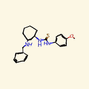 COc1ccc(NC(=S)N[C@@H]2CCCC[C@H]2NCc2ccccc2)cc1